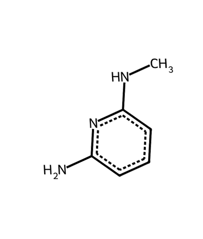 CNc1cccc(N)n1